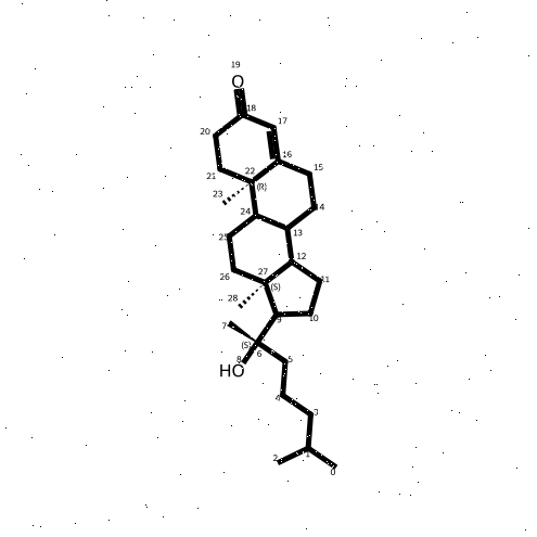 CC(C)CCC[C@](C)(O)C1CCC2C3CCC4=CC(=O)CC[C@]4(C)C3CC[C@@]21C